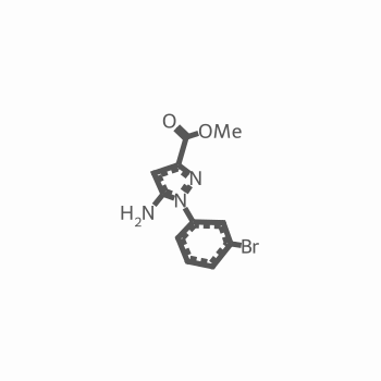 COC(=O)c1cc(N)n(-c2cccc(Br)c2)n1